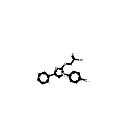 O=C(O)CSc1nc(-c2ccccc2)cn1-c1ccc(Cl)cc1